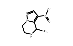 CC1NCCn2ncc([N+](=O)[O-])c21